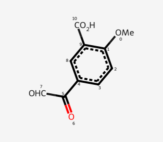 COc1ccc(C(=O)C=O)cc1C(=O)O